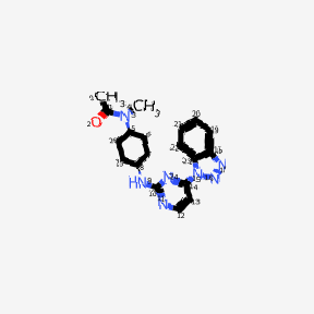 CC(=O)N(C)[C@H]1CC[C@H](Nc2nccc(-n3nnc4ccccc43)n2)CC1